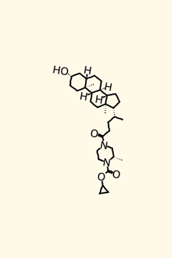 CC(CCC(=O)N1CCN(C(=O)OC2CC2)[C@@H](C)C1)[C@H]1CC[C@H]2[C@@H]3CC[C@H]4C[C@@H](O)CC[C@]4(C)[C@H]3CC[C@]12C